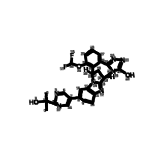 CC(C)(O)c1ncc(-c2ccc3nc4n(c3c2)[C@H]2C[C@H]4n3c(O)nnc3-c3cccc(OC(F)F)c32)cn1